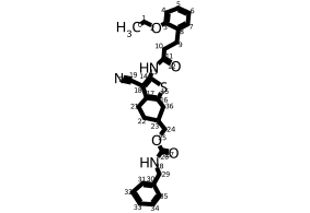 CCOc1ccccc1CCC(=O)Nc1sc2c(c1C#N)CCC(COC(=O)NCc1ccccc1)C2